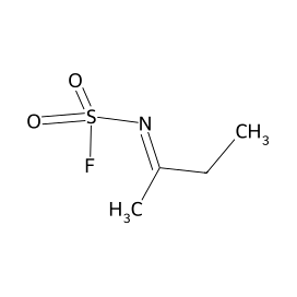 CCC(C)=NS(=O)(=O)F